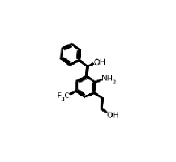 Nc1c(CCO)cc(C(F)(F)F)cc1C(O)c1ccccc1